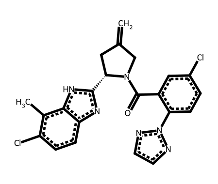 C=C1C[C@@H](c2nc3ccc(Cl)c(C)c3[nH]2)N(C(=O)c2cc(Cl)ccc2-n2nccn2)C1